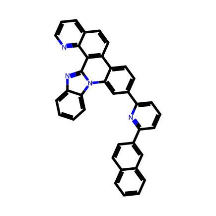 c1cc(-c2ccc3ccccc3c2)nc(-c2ccc3c4ccc5cccnc5c4c4nc5ccccc5n4c3c2)c1